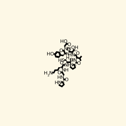 CC(C)[C@H](NC(=O)[C@@H]1CCCN1C(=O)[C@H](CS)NC(=O)[C@H](CCCCN)NC(=O)CNC(=O)[C@@H]1CCCN1)C(=O)N[C@H](C(=O)N[C@@H](Cc1ccc(O)cc1)C(=O)NCC(=O)O)[C@@H](C)O